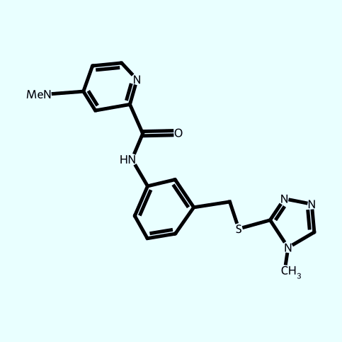 CNc1ccnc(C(=O)Nc2cccc(CSc3nncn3C)c2)c1